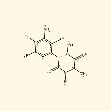 CCC(C(=O)Oc1cc(F)c(F)c(N)c1F)C(C)C(=O)OC(C)(C)C